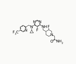 NC(=O)CN1CCC(CNc2ncnc(N(Cc3ccc(C(F)(F)F)cn3)C3CC3)c2F)C(F)C1